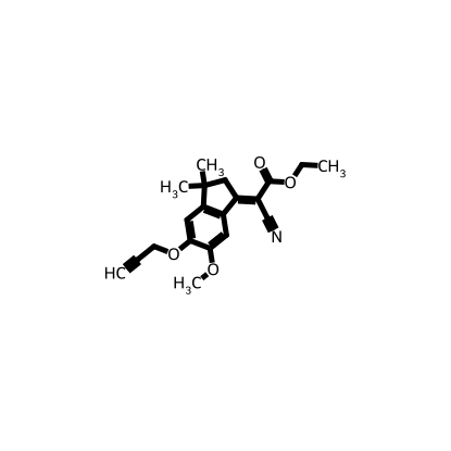 C#CCOc1cc2c(cc1OC)/C(=C(\C#N)C(=O)OCC)CC2(C)C